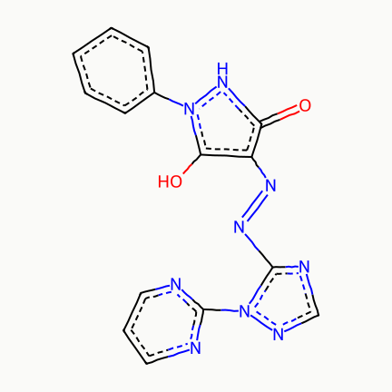 O=c1[nH]n(-c2ccccc2)c(O)c1N=Nc1ncnn1-c1ncccn1